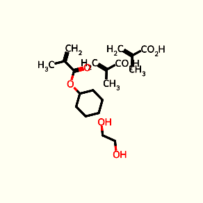 C=C(C)C(=O)O.C=C(C)C(=O)O.C=C(C)C(=O)OC1CCCCC1.OCCO